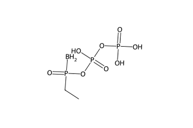 BP(=O)(CC)OP(=O)(O)OP(=O)(O)O